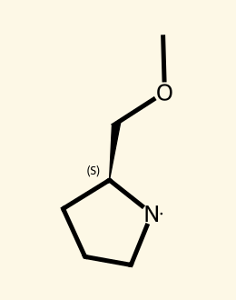 COC[C@@H]1CCC[N]1